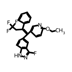 CCOc1ccc(/C(=C(/CC(F)(F)F)c2ccccc2)c2ccc3[nH]nc(F)c3c2)cn1